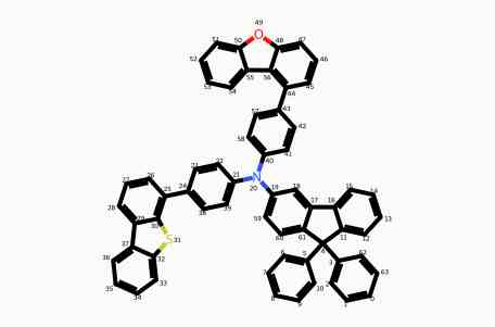 c1ccc(C2(c3ccccc3)c3ccccc3-c3cc(N(c4ccc(-c5cccc6c5sc5ccccc56)cc4)c4ccc(-c5cccc6oc7ccccc7c56)cc4)ccc32)cc1